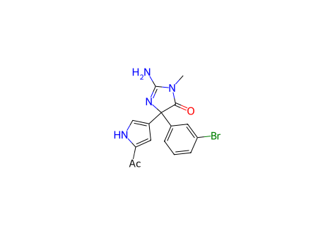 CC(=O)c1cc(C2(c3cccc(Br)c3)N=C(N)N(C)C2=O)c[nH]1